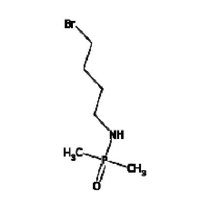 CP(C)(=O)NCCCCBr